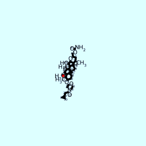 C[C@@H]1CC(COC(N)=O)OC2[C@H]1[C@@]1(C)CC[C@@]34C[C@@]35CC[C@H](O[C@H]3CN(C(=O)CC6CC6)CCO3)C(C)(C)[C@@H]5CCC4[C@]1(C)[C@H]2O